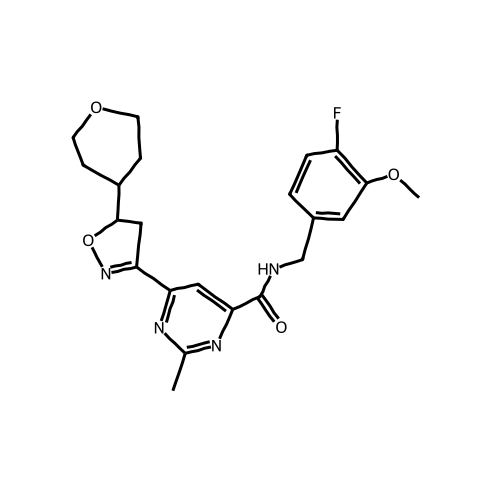 COc1cc(CNC(=O)c2cc(C3=NOC(C4CCOCC4)C3)nc(C)n2)ccc1F